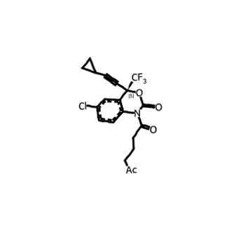 CC(=O)CCCC(=O)N1C(=O)O[C@](C#CC2CC2)(C(F)(F)F)c2cc(Cl)ccc21